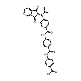 CC(=O)N(c1ccc(C(=O)Nc2ccc(C(=O)Nc3ccc(C(=O)O)cc3)cc2)cc1)N1C(=O)c2ccccc2C1=O